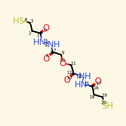 O=C(CCS)NNC(=O)COCC(=O)NNC(=O)CCS